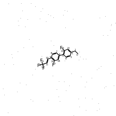 CCc1ccc(-c2ccc(/C=C/C(F)(F)F)c(F)c2)c(F)c1